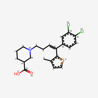 Cc1ccsc1C(=CCCN1CCCC(C(=O)O)C1)c1ccc(Cl)c(Cl)c1